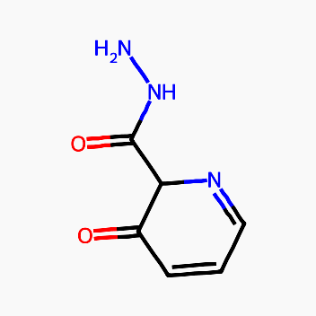 NNC(=O)C1N=CC=CC1=O